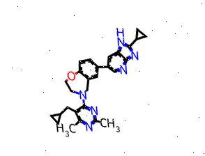 Cc1nc(C)c(CC2CC2)c(N2CCOc3ccc(-c4cnc5nc(C6CC6)[nH]c5c4)cc3C2)n1